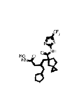 O=C(CC(CC1CCCC1)CC1(C(=O)Nc2ncc(C(F)(F)F)s2)CCC2(CC2)C1)NO